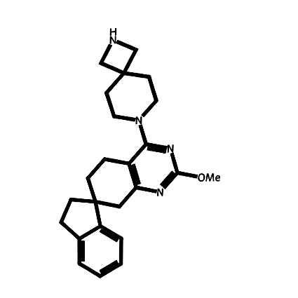 COc1nc2c(c(N3CCC4(CC3)CNC4)n1)CCC1(CCc3ccccc31)C2